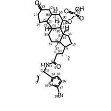 CC[C@H](NC(=O)C[C@@H](C)C1CC[C@H]2[C@@H]3[C@H](OS(=O)(=O)O)C[C@@H]4CC(=O)CC[C@]4(C)[C@H]3CC[C@]12C)c1ccc(Br)s1